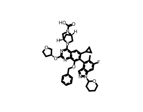 Cc1c(F)cc2c(cnn2C2CCCCO2)c1-c1c(C2CC2)cc2c(N3C[C@@H]4C[C@H]3CN4C(=O)O)nc(O[C@H]3CCOC3)nc2c1OCc1ccccc1